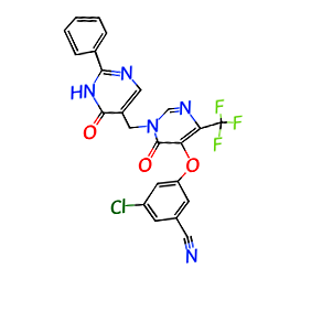 N#Cc1cc(Cl)cc(Oc2c(C(F)(F)F)ncn(Cc3cnc(-c4ccccc4)[nH]c3=O)c2=O)c1